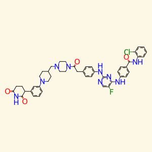 O=C1CCC(c2cccc(N3CCC(CN4CCN(C(=O)Cc5ccc(Nc6ncc(F)c(Nc7ccc(C(=O)Nc8ccccc8Cl)cc7)n6)cc5)CC4)CC3)c2)C(=O)N1